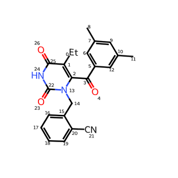 CCc1c(C(=O)c2cc(C)cc(C)c2)n(Cc2ccccc2C#N)c(=O)[nH]c1=O